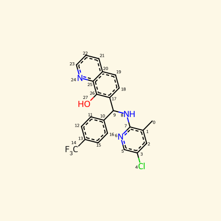 Cc1cc(Cl)cnc1NC(c1ccc(C(F)(F)F)cc1)c1ccc2cccnc2c1O